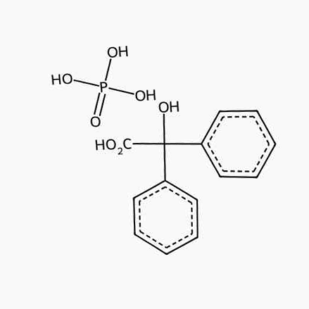 O=C(O)C(O)(c1ccccc1)c1ccccc1.O=P(O)(O)O